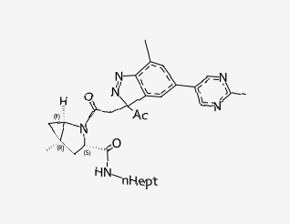 CCCCCCCNC(=O)[C@@H]1C[C@@]2(C)C[C@H]2N1C(=O)CC1(C(C)=O)N=Nc2c(C)cc(-c3cnc(C)nc3)cc21